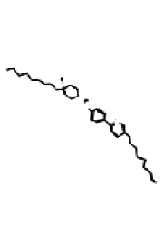 CCCCCCCCCc1ccc(-c2ccc(OC(=O)[C@H]3CC[C@@](C#N)(CCCCCCCCC)CC3)cc2)nc1